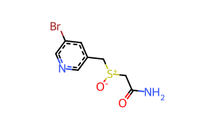 NC(=O)C[S+]([O-])Cc1cncc(Br)c1